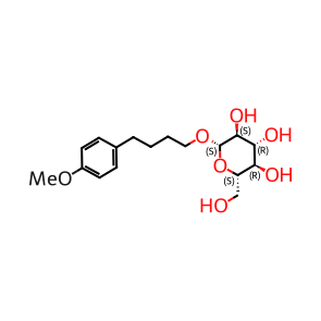 COc1ccc(CCCCO[C@H]2O[C@@H](CO)[C@H](O)[C@@H](O)[C@@H]2O)cc1